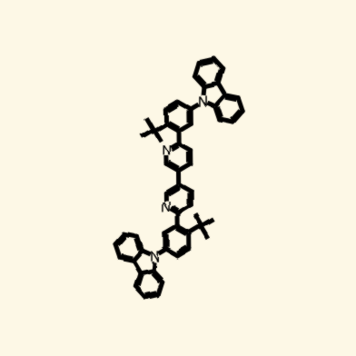 CC(C)(C)c1ccc(-n2c3ccccc3c3ccccc32)cc1-c1ccc(-c2ccc(-c3cc(-n4c5ccccc5c5ccccc54)ccc3C(C)(C)C)nc2)cn1